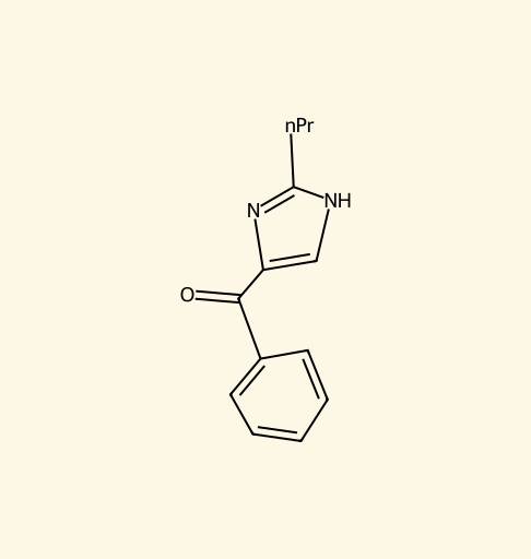 CCCc1nc(C(=O)c2ccccc2)c[nH]1